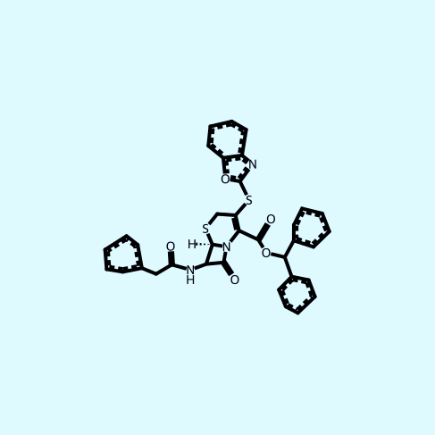 O=C(Cc1ccccc1)NC1C(=O)N2C(C(=O)OC(c3ccccc3)c3ccccc3)=C(Sc3nc4ccccc4o3)CS[C@H]12